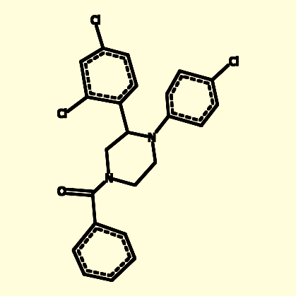 O=C(c1ccccc1)N1CCN(c2ccc(Cl)cc2)C(c2ccc(Cl)cc2Cl)C1